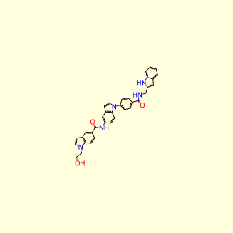 O=C(NCc1cc2ccccc2[nH]1)c1ccc(-n2ccc3cc(NC(=O)c4ccc5c(ccn5CCO)c4)ccc32)cc1